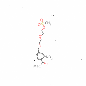 COC(=O)c1ccc(COCCOCCOS(C)(=O)=O)cc1[N+](=O)[O-]